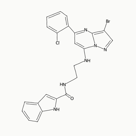 O=C(NCCNc1cc(-c2ccccc2Cl)nc2c(Br)cnn12)c1cc2ccccc2[nH]1